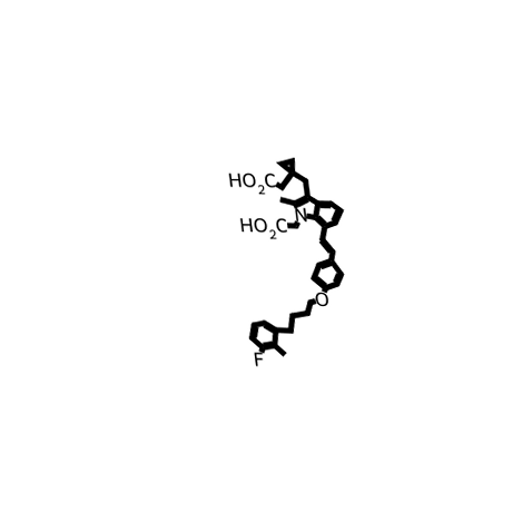 Cc1c(F)cccc1CCCCOc1ccc(C=Cc2cccc3c(CC4(CC(=O)O)CC4)c(C)n(CC(=O)O)c23)cc1